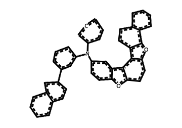 c1ccc(N(c2cccc(-c3ccc4ccccc4c3)c2)c2ccc3oc4ccc5oc6c7ccccc7ccc6c5c4c3c2)cc1